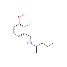 CCCC(C)NCc1cccc(OC)c1Cl